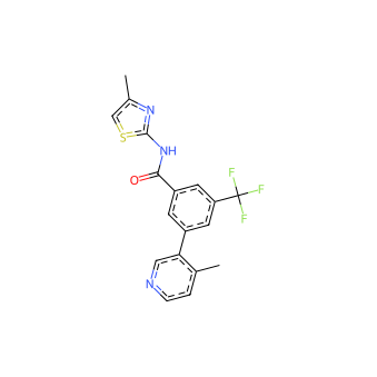 Cc1csc(NC(=O)c2cc(-c3cnccc3C)cc(C(F)(F)F)c2)n1